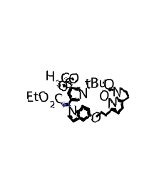 CCOC(=O)/C=C(\c1cncc(S(C)(=O)=O)c1)n1ccc2cc(OCCc3ccc4c(n3)N(C(=O)OC(C)(C)C)CCC4)ccc21